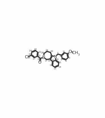 COc1cccc(Cn2c3c(c4ccccc42)CN(C(=O)c2cccc(Cl)c2)CCC3)c1